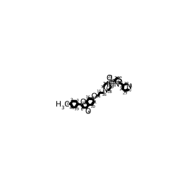 Cc1ccc(-c2cc(=O)c3ccc(OCCCN4CCN(C(=O)[C@@H]5CSC(c6cccnc6)N5)CC4)cc3o2)cc1